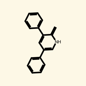 C=C1NC=C(c2ccccc2)C=C1c1ccccc1